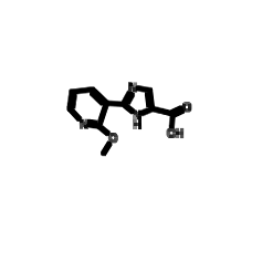 COc1ncccc1-c1ncc(C(=O)O)[nH]1